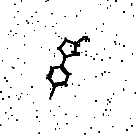 C[C@@H]1CCC(c2ccc(F)cc2)N1